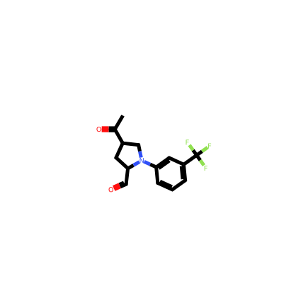 CC(=O)C1CC(C=O)N(c2cccc(C(F)(F)F)c2)C1